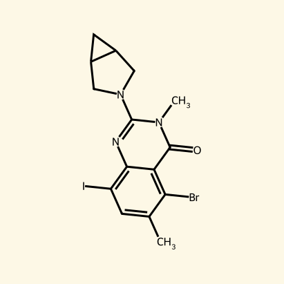 Cc1cc(I)c2nc(N3CC4CC4C3)n(C)c(=O)c2c1Br